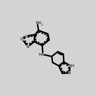 Nc1ccc(NC2C=Cc3[nH]ncc3C2)c2nonc12